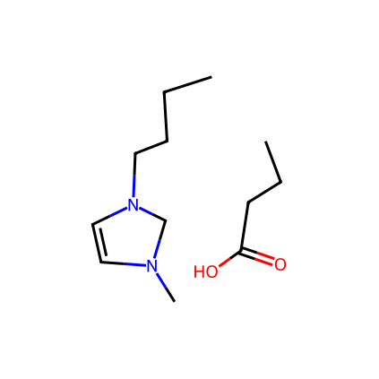 CCCC(=O)O.CCCCN1C=CN(C)C1